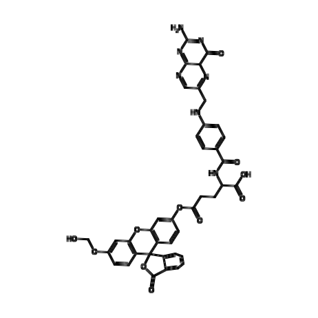 NC1=NC(=O)C2N=C(CNc3ccc(C(=O)NC(CCC(=O)Oc4ccc5c(c4)Oc4cc(OCO)ccc4C54OC(=O)c5ccccc54)C(=O)O)cc3)C=NC2=N1